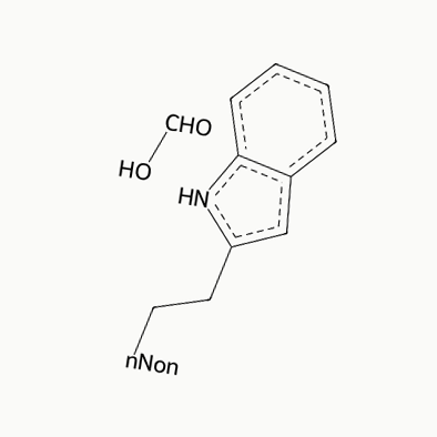 CCCCCCCCCCCc1cc2ccccc2[nH]1.O=CO